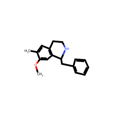 [CH2]c1cc2c(cc1OC)C(Cc1ccccc1)NCC2